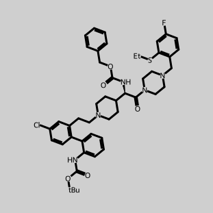 CCSc1cc(F)ccc1CN1CCN(C(=O)[C@H](NC(=O)OCc2ccccc2)C2CCN(CCc3cc(Cl)ccc3-c3ccccc3NC(=O)OC(C)(C)C)CC2)CC1